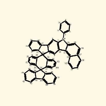 c1ccc(-n2c3cc4c(cc3c3c5ccccc5ccc32)C2(c3ccccc3-4)c3ccccc3C3(c4ccccc4-c4ccccc43)c3ccccc32)cc1